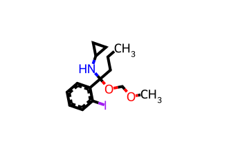 CCCC(NC1CC1)(OCOC)c1ccccc1I